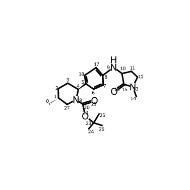 C[C@@H]1CC[C@@H](c2ccc(NC3CCN(C)C3=O)cc2)N(C(=O)OC(C)(C)C)C1